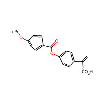 C=C(C(=O)O)c1ccc(OC(=O)c2ccc(OCCC)cc2)cc1